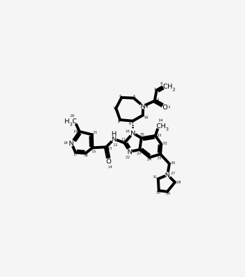 C=CC(=O)N1CCCC[C@@H](n2c(NC(=O)c3ccnc(C)c3)nc3cc(CN4CCCC4)cc(C)c32)C1